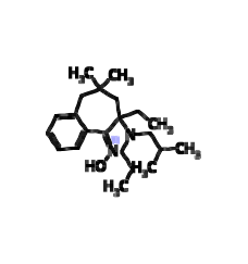 CCCN(CC(C)C)C1(CC)CC(C)(C)Cc2ccccc2/C1=N\O